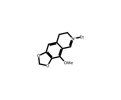 CC[N+]1=Cc2c(cc3c(c2OC)OCO3)CC1